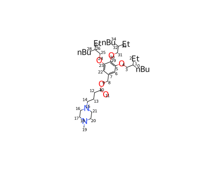 CCCCC(CC)COc1cc(COC(=O)CCCN2CCN(C)CC2)cc(OCC(CC)CCCC)c1OCC(CC)CCCC